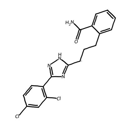 NC(=O)c1ccccc1CC[CH]c1nc(-c2ccc(Cl)cc2Cl)n[nH]1